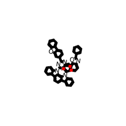 c1ccc(-c2nc3cccc(-c4nc(-c5ccc6c(c5)oc5ccccc56)nc(-n5c6ccccc6c6ccc7c8ccccc8n(-c8ccccc8)c7c65)n4)c3o2)cc1